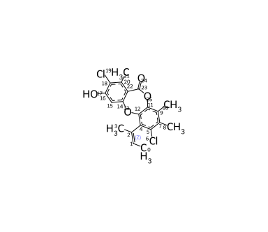 C/C=C(/C)c1c(Cl)c(C)c(C)c2c1Oc1cc(O)c(Cl)c(C)c1C(=O)O2